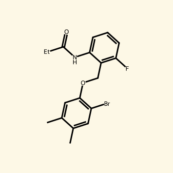 CCC(=O)Nc1cccc(F)c1COc1cc(C)c(C)cc1Br